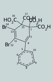 O=C(O)C1(C(=O)O)C=C(c2ccccc2)C(Br)=C(Br)C1(C(=O)O)C(=O)O